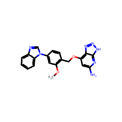 Nc1cc(OCc2ccc(-n3cnc4ccccc43)cc2OC(F)(F)F)c2nn[nH]c2n1